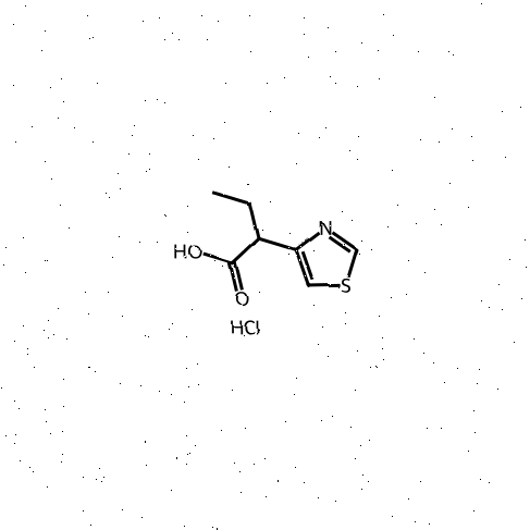 CCC(C(=O)O)c1cscn1.Cl